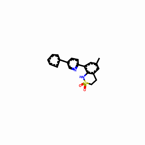 Cc1cc2c(c(-c3ccc(-c4ccccc4)cn3)c1)NS(=O)(=O)CC2